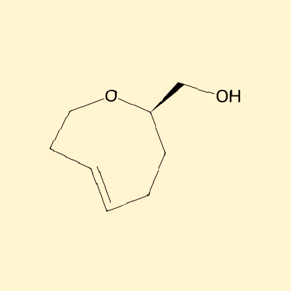 OC[C@H]1CC/C=C/CCO1